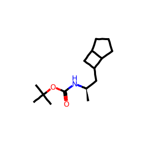 C[C@H](CC1CC2CCCC21)NC(=O)OC(C)(C)C